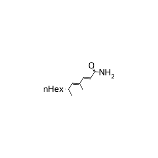 CCCCCC[C@@H](C)/C=C(C)/C=C/C(N)=O